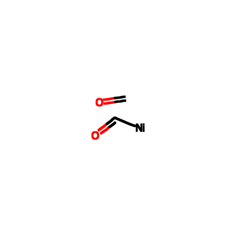 C=O.O=[CH][Ni]